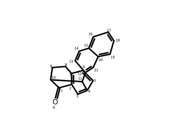 O=C1c2cc3ccc2CCC1C3c1ccc2ccccc2c1